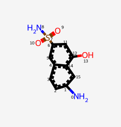 Nc1ccc2cc(S(N)(=O)=O)cc(O)c2c1